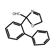 O=CC1(c2ccccc2-c2ccccc2)N=CCO1